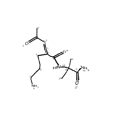 CC(=O)/N=C(\CCCN)C(=O)NC(C)(C)C(N)=O